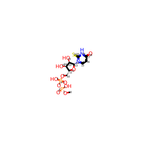 COP(=O)(O)OP(=O)(O)OC[C@H]1O[C@@H](n2ccc(=O)[nH]c2=S)[C@H](O)[C@@H]1O